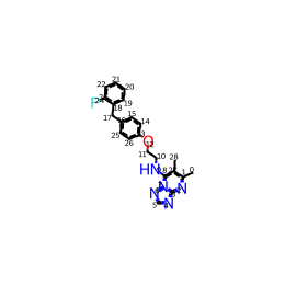 Cc1nc2ncnn2c(NCCOc2ccc(Cc3ccccc3F)cc2)c1C